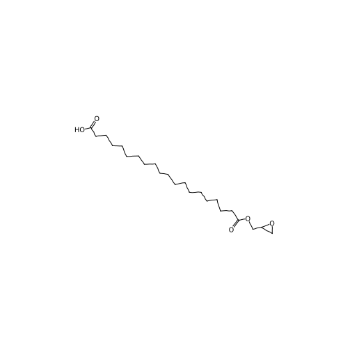 O=C(O)CCCCCCCCCCCCCCCCCCC(=O)OCC1CO1